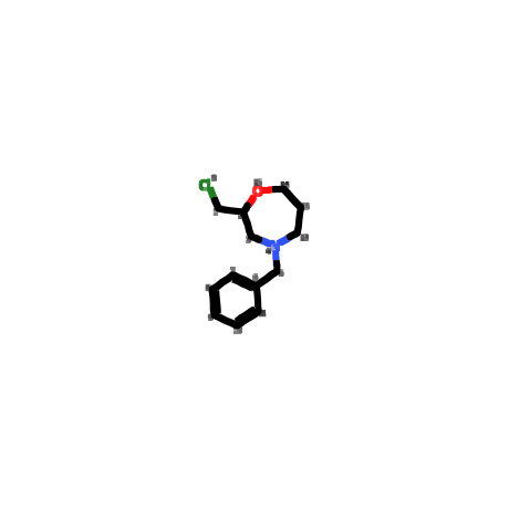 ClCC1CN(Cc2ccccc2)CCCO1